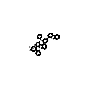 C[C@@H]1C[C@H]2CCCC1CC21c2ccccc2-n2c3ccccc3c3c(N(c4ccccc4)c4cccc(-c5cccc6c5sc5ccccc56)c4)ccc1c32